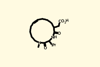 CC(C)C1NC(=O)C(CC(=O)O)CCCC=CCCCCN(C)C1=O